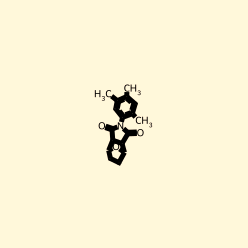 Cc1cc(C)c(N2C(=O)C3C4CCC(O4)C3C2=O)cc1C